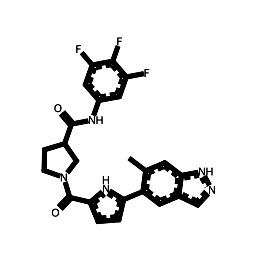 Cc1cc2[nH]ncc2cc1-c1ccc(C(=O)N2CCC(C(=O)Nc3cc(F)c(F)c(F)c3)C2)[nH]1